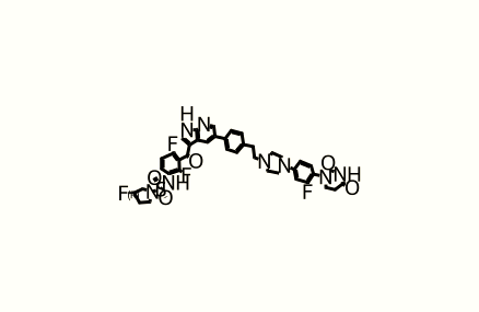 O=C1CCN(c2ccc(N3CCN(CCc4ccc(-c5cnc6[nH]cc(C(=O)c7c(F)ccc(NS(=O)(=O)N8CC[C@@H](F)C8)c7F)c6c5)cc4)CC3)cc2F)C(=O)N1